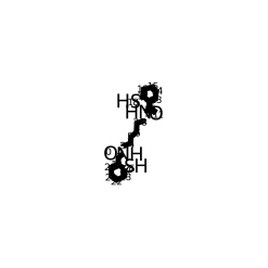 O=C(NCCCCCCNC(=O)c1ccccc1S)c1ccccc1S